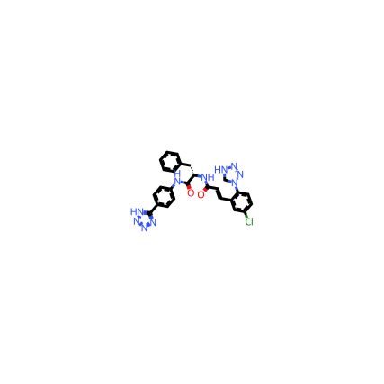 O=C(/C=C/c1cc(Cl)ccc1N1CNN=N1)N[C@@H](Cc1ccccc1)C(=O)Nc1ccc(-c2nnn[nH]2)cc1